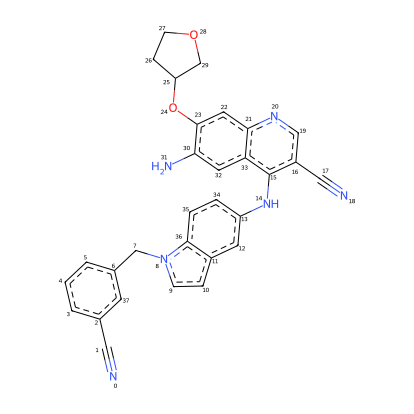 N#Cc1cccc(Cn2ccc3cc(Nc4c(C#N)cnc5cc(OC6CCOC6)c(N)cc45)ccc32)c1